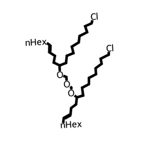 CCCCCCC=CCCC(CCCCCCCCCCl)OCOCOC(CCC=CCCCCCC)CCCCCCCCCCl